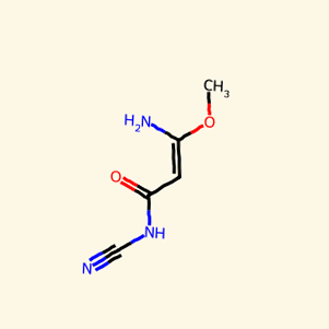 COC(N)=CC(=O)NC#N